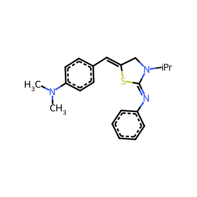 CC(C)N1CC(=Cc2ccc(N(C)C)cc2)SC1=Nc1ccccc1